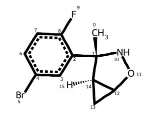 C[C@@]1(c2cc(Br)ccc2F)NOC2C[C@H]21